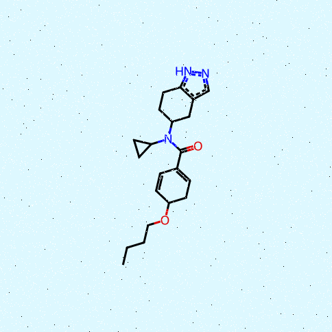 CCCCOC1C=CC(C(=O)N(C2CC2)C2CCc3[nH]ncc3C2)=CC1